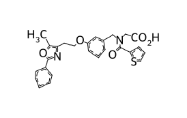 Cc1oc(-c2ccccc2)nc1CCOc1cccc(CN(CC(=O)O)C(=O)c2cccs2)c1